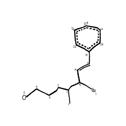 CC(CCCCl)C(Br)/C=C/c1ccccc1